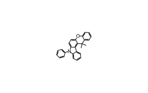 CC1(C)c2ccccc2Oc2ccc3c(c21)c1ccccc1n3-c1ccccc1